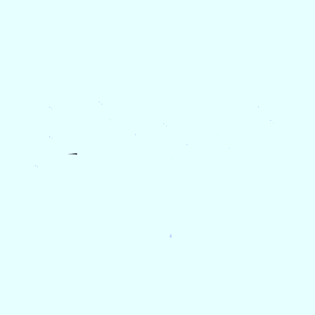 C[C@H]1CN(C)CCN1c1cc(NC(=O)Cn2cc(-c3cc(F)c(O)c(C(N)=O)c3)c3c(=O)n(CCC(=O)c4cnn(C)c4)cnc32)c(Cl)c(F)n1